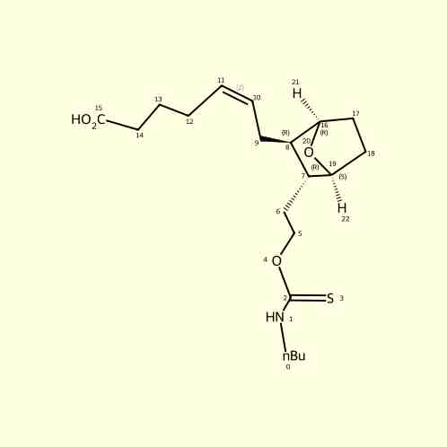 CCCCNC(=S)OCC[C@@H]1[C@@H](C/C=C\CCCC(=O)O)[C@H]2CC[C@@H]1O2